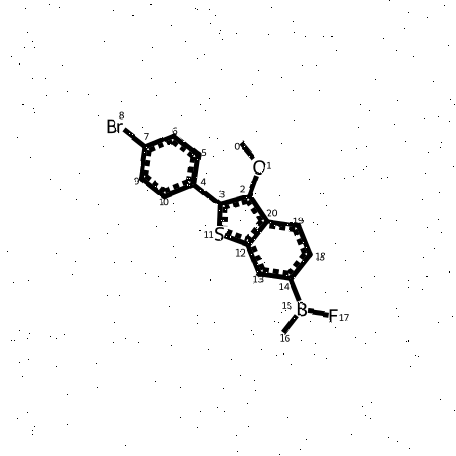 COc1c(-c2ccc(Br)cc2)sc2cc(B(C)F)ccc12